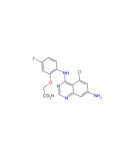 Nc1cc(Cl)c2c(Nc3ccc(F)cc3OCC(=O)O)ncnc2c1